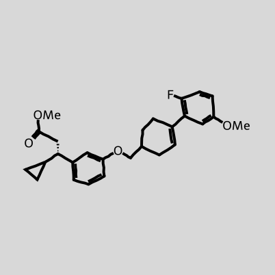 COC(=O)C[C@H](c1cccc(OCC2CC=C(c3cc(OC)ccc3F)CC2)c1)C1CC1